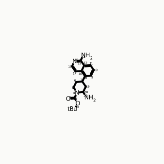 CC(C)(C)OC(=O)N1CCC(c2cccc3c(N)nccc23)CC1N